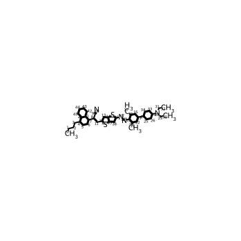 CCCCc1ccc(/C(C#N)=C/c2cc3sc(/N=N/c4c(C)cc(-c5ccc(N(CC)CC)cc5)cc4C)cc3s2)c2ccccc12